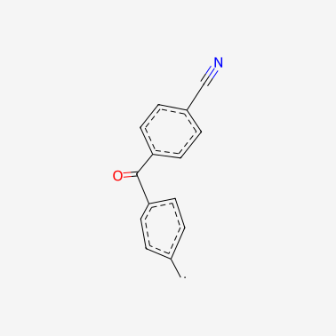 [CH2]c1ccc(C(=O)c2ccc(C#N)cc2)cc1